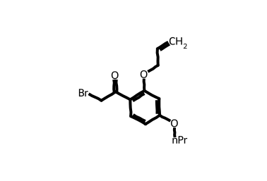 C=CCOc1cc(OCCC)ccc1C(=O)CBr